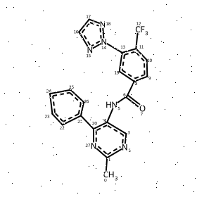 Cc1ncc(NC(=O)c2ccc(C(F)(F)F)c(-n3nccn3)c2)c(-c2ccccc2)n1